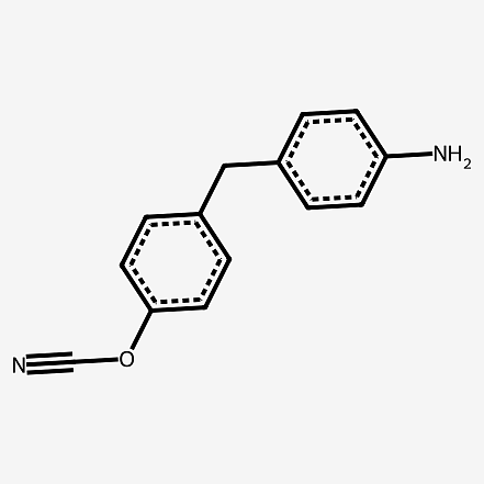 N#COc1ccc(Cc2ccc(N)cc2)cc1